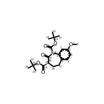 COc1ccc2c(c1)N(C(=O)OC(C)(C)C)C(=O)[C@H](C(=O)OC(C)(C)C)CC2